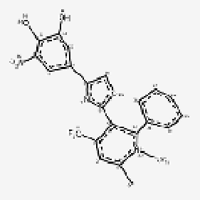 Cc1cc(C(F)(F)F)c(-c2nc(-c3cc(O)c(O)c([N+](=O)[O-])c3)co2)c(-c2ccccc2)[n+]1[O-]